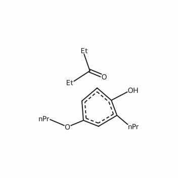 CCC(=O)CC.CCCOc1ccc(O)c(CCC)c1